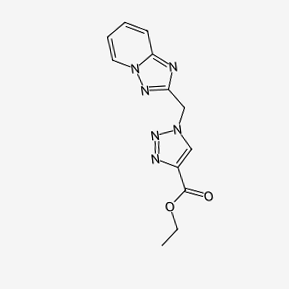 CCOC(=O)c1cn(Cc2nc3ccccn3n2)nn1